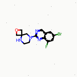 Fc1cc(Br)cc2cnc(N3CCNC4(COC4)C3)nc12